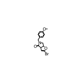 COc1ccc(CN2CC3OC(Br)=CC3C2=O)cc1